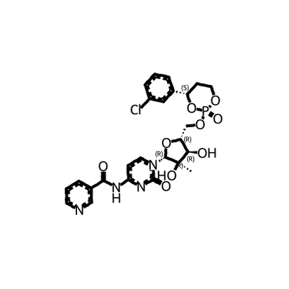 C[C@@]1(O)[C@H](O)[C@@H](COP2(=O)OCC[C@@H](c3cccc(Cl)c3)O2)O[C@H]1n1ccc(NC(=O)c2cccnc2)nc1=O